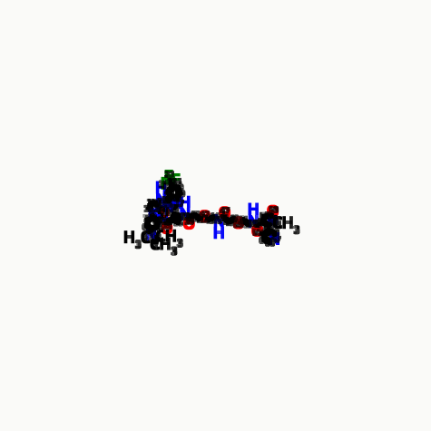 CC(C)N(C)[C@@H]1CC[C@H](N2CC[C@H](Nc3ncnc4ccc(C(F)(F)F)cc34)C2=O)[C@H](NC(=O)C2CC(NC(=O)CCOCCNC(=O)CCOCCNC(=O)[C@H]3CC(=O)N(C)[C@@H]3c3cccnc3)C2)C1